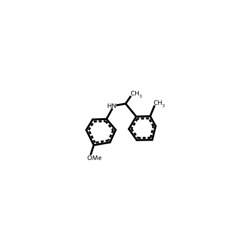 COc1ccc(NC(C)c2ccccc2C)cc1